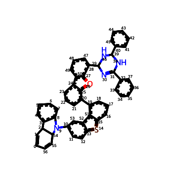 C1=CC2c3ccccc3N(c3ccc4sc5cccc(-c6cccc7c6oc6c(C8N=C(c9ccccc9)NC(c9ccccc9)N8)cccc67)c5c4c3)C2C=C1